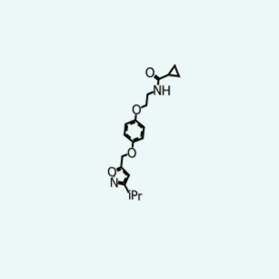 CC(C)c1cc(COc2ccc(OCCNC(=O)C3CC3)cc2)on1